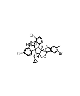 Cc1cc2nn3c(c2cc1Br)OC[C@H]1[C@@H]3[C@H](c2cccc(Cl)c2F)[C@]2(C(=O)Nc3cc(Cl)ccc32)N1CC1CC1